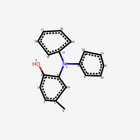 Cc1ccc(O)c(N(c2ccccc2)c2ccccc2)c1